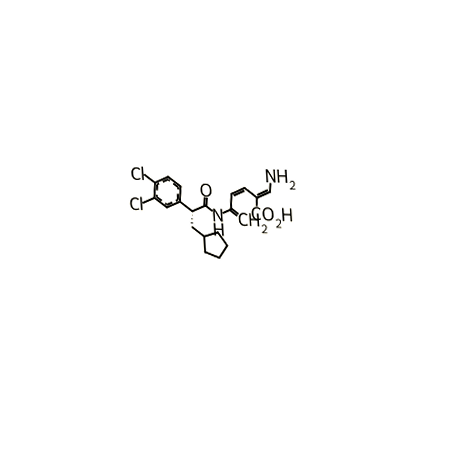 C=C(/C=C\C(=C/N)C(=O)O)NC(=O)[C@H](CC1CCCC1)c1ccc(Cl)c(Cl)c1